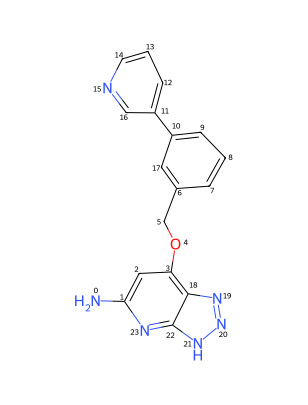 Nc1cc(OCc2cccc(-c3cccnc3)c2)c2nn[nH]c2n1